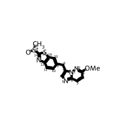 COc1ccc2ncc(Cc3ccc4nc([S+](C)[O-])sc4c3)n2n1